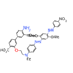 CCCCCCCCCCc1cc(-c2ccc(C(=O)O)c(OCCN(CC)c3ccc(/N=N/c4cc(OC)c(/N=N/c5ccc([N+](=O)[O-])cc5)cc4OC)cc3)c2)ccc1N